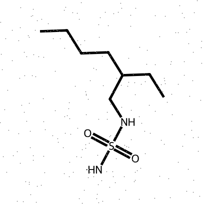 CCCCC(CC)CNS([NH])(=O)=O